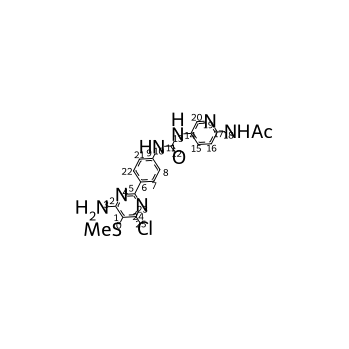 CSc1c(N)nc(-c2ccc(NC(=O)Nc3ccc(NC(C)=O)nc3)cc2)nc1Cl